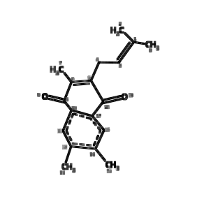 CC(C)=CCC1=C(C)C(=O)c2cc(C)c(C)cc2C1=O